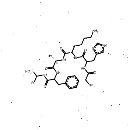 CC(C)C(NC(=O)C(Cc1ccccc1)NC(=O)[C@@H](NC(=O)C(CCCCN)NC(=O)C(Cc1c[nH]cn1)NC(=O)CN)C(C)C)C(=O)O